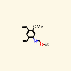 C=Cc1cc(C=C)c(OC)cc1/N=C/OCC